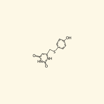 O=c1cc(CSc2ccc(O)cc2)[nH]c(=O)[nH]1